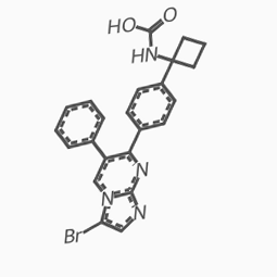 O=C(O)NC1(c2ccc(-c3nc4ncc(Br)n4cc3-c3ccccc3)cc2)CCC1